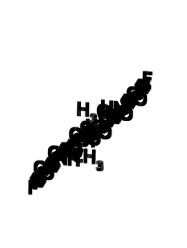 COc1cc(NC(=O)c2ccc(OC(=O)c3ccc(F)cc3)cc2)ccc1/C=C/C(=O)O[C@H]1CO[C@H]2[C@@H]1OC[C@H]2OC(=O)/C=C/c1ccc(NC(=O)c2ccc(OC(=O)c3ccc(F)cc3)cc2)cc1OC